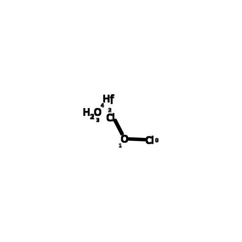 ClOCl.O.[Hf]